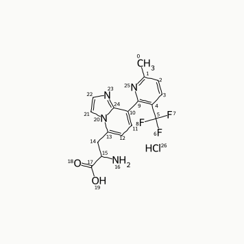 Cc1ccc(C(F)(F)F)c(-c2ccc(CC(N)C(=O)O)n3ccnc23)n1.Cl